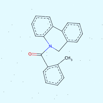 Cc1ccccc1C(=O)N1Cc2ccccc2-c2ccccc21